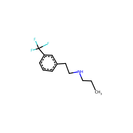 CCCNCCc1cccc(C(F)(F)F)c1